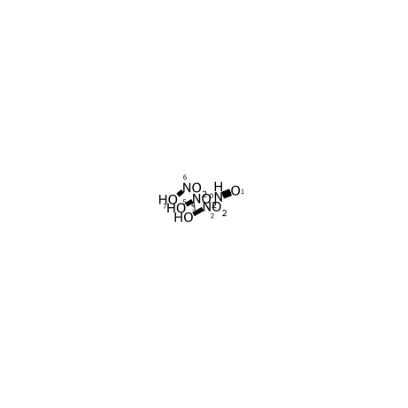 N=O.O=[N+]([O-])O.O=[N+]([O-])O.O=[N+]([O-])O